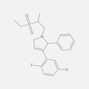 CCS(=O)(=O)C(C)CN1CC=C(c2cc(F)ccc2F)C1c1ccccc1